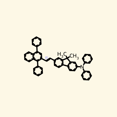 CC1(C)c2cc(/C=C/c3cc(-c4ccccc4)c4ccccc4c3-c3ccccc3)ccc2-c2ccc(N(c3ccccc3)c3ccccc3)cc21